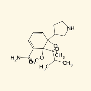 COC1(C(=O)C(C)C)C(C(N)=O)=CC=CC1(OC)C1CCNC1